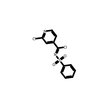 O=S(=O)(N=C(Cl)c1ccnc(Cl)c1)c1ccccc1